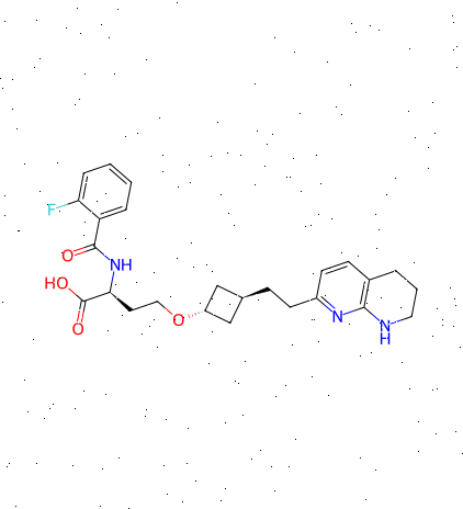 O=C(N[C@@H](CCO[C@H]1C[C@H](CCc2ccc3c(n2)NCCC3)C1)C(=O)O)c1ccccc1F